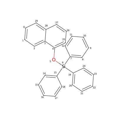 [c]1ccc2c(O[Si](c3ccccc3)(c3ccccc3)c3ccccc3)cccc2c1